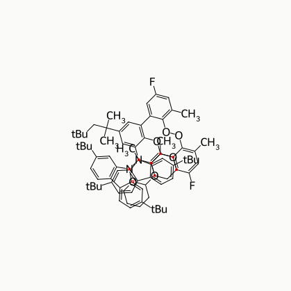 C/C(=C(/OC1CCCCO1)C(C)n1c2cc(C(C)(C)C)ccc2c2ccc(C(C)(C)C)cc21)c1cc(F)cc(C)c1OOc1c(C)cc(F)cc1-c1cc(C(C)(C)CC(C)(C)C)cc(-n2c3cc(C(C)(C)C)ccc3c3ccc(C(C)(C)C)cc32)c1OC1CCCCO1